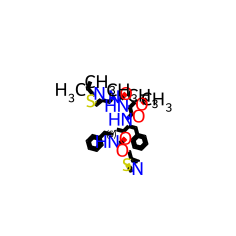 COC(C)C(NC(=O)N(C)Cc1csc(C(C)C)n1)C(=O)NC(CC[C@@H](Cc1ccccc1)NC(=O)OCc1cncs1)Cc1ccccc1